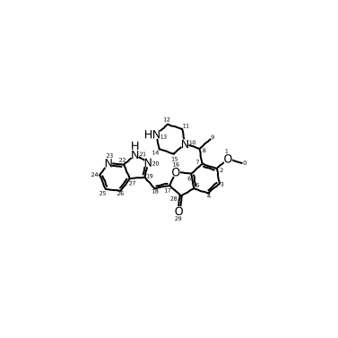 COc1ccc2c(c1C(C)N1CCNCC1)O/C(=C\c1n[nH]c3ncccc13)C2=O